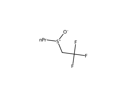 [CH2]CC[S+]([O-])CC(F)(F)F